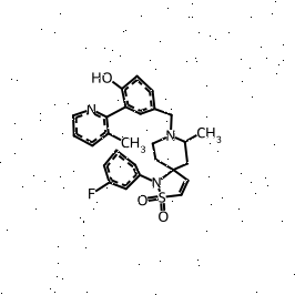 Cc1cccnc1-c1cc(CN2CCC3(C=CS(=O)(=O)N3c3cccc(F)c3)CC2C)ccc1O